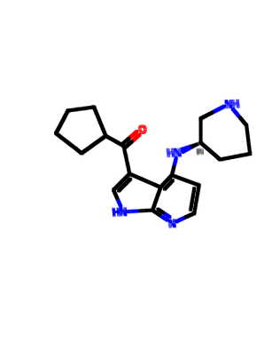 O=C(c1c[nH]c2nccc(N[C@@H]3CCCNC3)c12)C1CCCC1